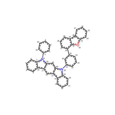 c1ccc(-n2c3ccccc3c3cc4c5ccccc5n(-c5cccc(-c6cccc7c6oc6ccccc67)c5)c4cc32)cc1